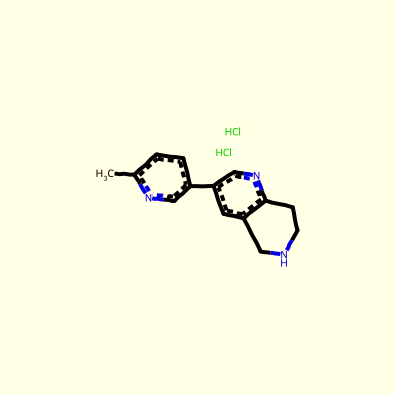 Cc1ccc(-c2cnc3c(c2)CNCC3)cn1.Cl.Cl